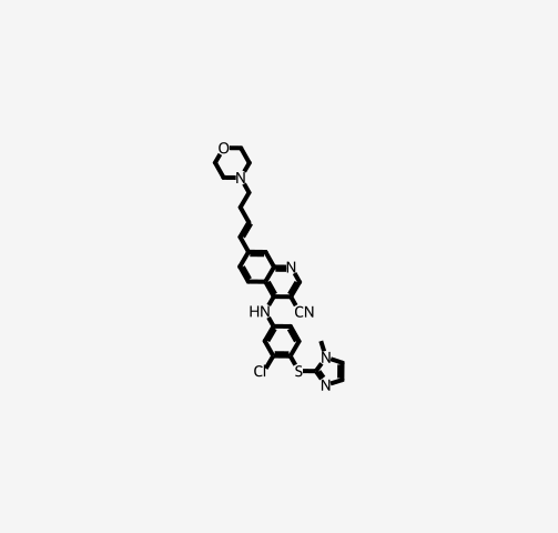 Cn1ccnc1Sc1ccc(Nc2c(C#N)cnc3cc(C=CCCN4CCOCC4)ccc23)cc1Cl